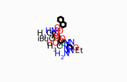 CCOc1nc(N)nc2c1ncn2[C@@H]1O[C@](F)(COP(=O)(N[C@@H](C)C(=O)OCC(C)C)Oc2cccc3ccccc23)[C@@H](O)[C@@]1(C)F